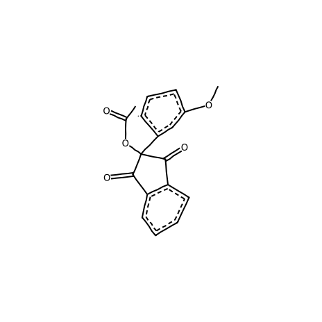 COc1cc[c]c(C2(OC(C)=O)C(=O)c3ccccc3C2=O)c1